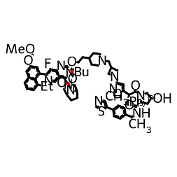 CCc1cccc2cc(OCOC)cc(-c3ncc4c(N5CC6CCC(C5)N6C(=O)OC(C)(C)C)nc(OCCC5CCN(CC6CN(c7cc(C(C(=O)N8C[C@H](O)C[C@H]8C(=O)NC(C)c8ccc(-c9scnc9C)cc8)C(C)C)on7)C6)CC5)nc4c3F)c12